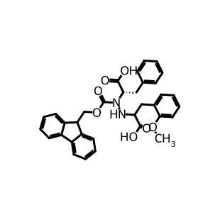 COc1ccccc1CC(NN(C(=O)OCC1c2ccccc2-c2ccccc21)[C@@H](Cc1ccccc1)C(=O)O)C(=O)O